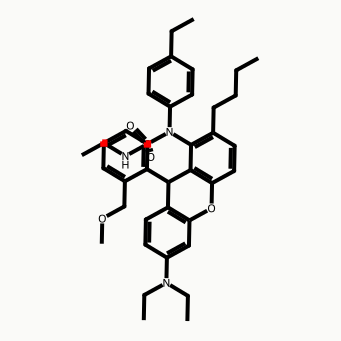 CCCCc1ccc2c(c1N(c1ccc(CC)cc1)S(=O)(=O)NCC)C(c1ccccc1COC)c1ccc(N(CC)CC)cc1O2